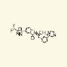 CN(Cc1cccc(-c2cnccn2)c1)N1Cc2ccc(-c3nnc(C(F)F)o3)cc2C1=O